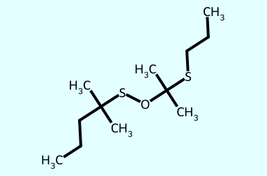 CCCSC(C)(C)OSC(C)(C)CCC